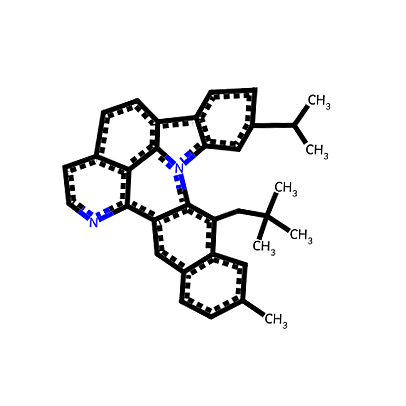 Cc1ccc2cc3c4nccc5ccc6c7ccc(C(C)C)cc7n(c3c(CC(C)(C)C)c2c1)c6c54